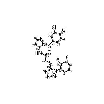 Cc1cccc(-n2nnnc2SCC(=O)Nc2ccnn2Cc2ccc(Cl)c(Cl)c2)c1C